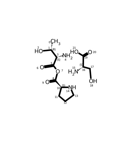 C[C@@H](O)[C@H](N)C(=O)OC(=O)[C@@H]1CCCN1.N[C@@H](CO)C(=O)O